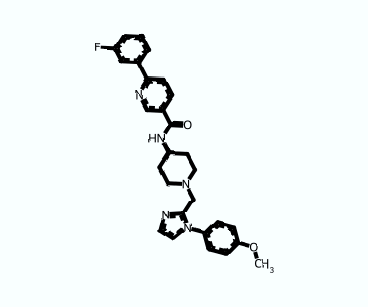 COc1ccc(-n2ccnc2CN2CCC(NC(=O)c3ccc(-c4cccc(F)c4)nc3)CC2)cc1